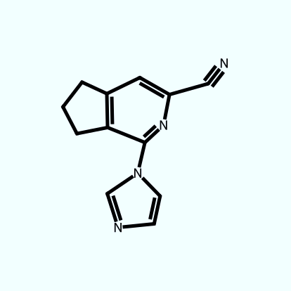 N#Cc1cc2c(c(-n3ccnc3)n1)CCC2